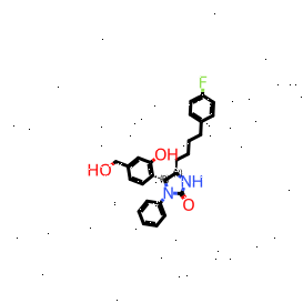 O=C1N[C@H](CCCCc2ccc(F)cc2)[C@@H](c2ccc(CO)cc2O)N1c1ccccc1